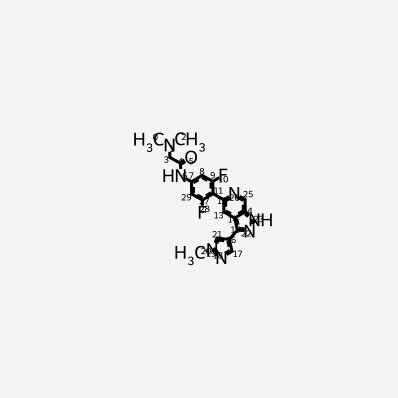 CN(C)CC(=O)Nc1cc(F)c(-c2cc3c(-c4cnn(C)c4)n[nH]c3cn2)c(F)c1